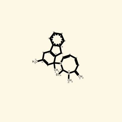 C=C1/C=C\C=C/N(C2(C)C=C(C)CC3=C2Cc2ccccc23)C(CC)N1C